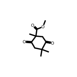 COC(=O)C1(C)CC(=O)C(C)(C)CC1=O